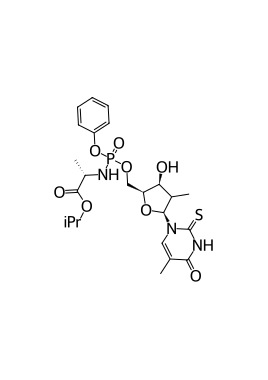 Cc1cn([C@H]2O[C@@H](COP(=O)(N[C@@H](C)C(=O)OC(C)C)Oc3ccccc3)[C@@H](O)C2C)c(=S)[nH]c1=O